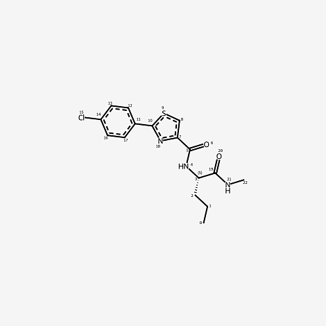 CCC[C@H](NC(=O)c1csc(-c2ccc(Cl)cc2)n1)C(=O)NC